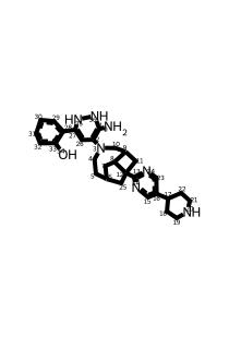 NC1=C(N2CCC3CC4C(C2)CC4(c2ncc(C4CCNCC4)cn2)C3)C=C(c2ccccc2O)NN1